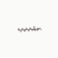 CC(=O)CCC(=O)CCC(=O)CCC(=O)CCC(=O)CCC(=O)CCC(=O)CCC(=O)CCNC(=O)CCCC(N)=O